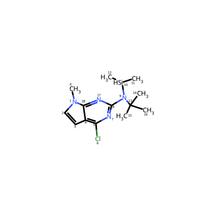 Cn1ccc2c(Cl)nc(N([SiH](C)C)C(C)(C)C)nc21